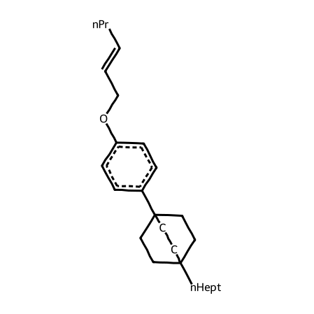 CCCC=CCOc1ccc(C23CCC(CCCCCCC)(CC2)CC3)cc1